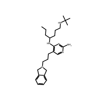 CCCC(CCCNC(C)(C)C)Nc1nc(N)ncc1CCCN1Cc2ccccc2C1